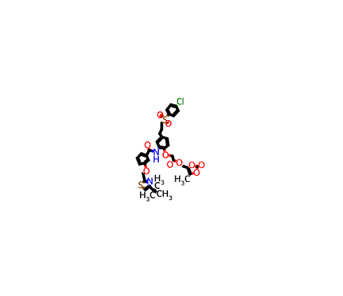 Cc1oc(=O)oc1COC(=O)COc1ccc(CCCS(=O)(=O)c2ccc(Cl)cc2)cc1NC(=O)c1cccc(OCc2nc(C(C)(C)C)cs2)c1